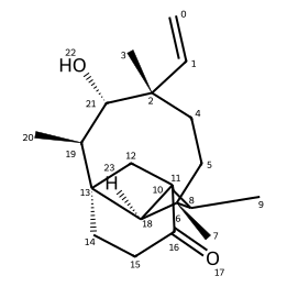 C=C[C@]1(C)CC[C@]2(C)C(C)CC34C[C@@](CCC3=O)([C@@H]42)[C@@H](C)[C@@H]1O